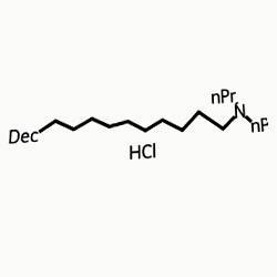 CCCCCCCCCCCCCCCCCCCCN(CCC)CCC.Cl